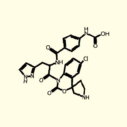 O=C(O)Nc1ccc(C(=O)NC(Cc2cc[nH]n2)C(=O)N2C(=O)OC3(CCNC3)c3cc(Cl)ccc32)cc1